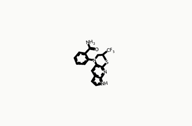 NC(=O)c1ccccc1N1CC(C(F)(F)F)Sc2nc3[nH]ccc3cc21